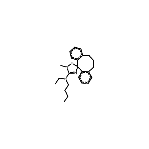 CCCCN(CC)C1=NC2(ON1C)c1ccccc1CCCc1ccccc12